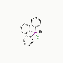 CCP(Cl)(c1ccccc1)(c1ccccc1)c1ccccc1